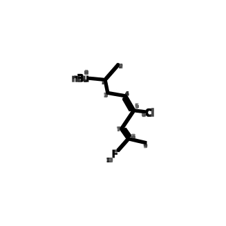 CCCCC(C)C/C=C(Cl)\C=C(/C)F